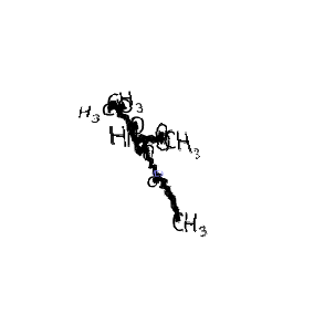 CCCCCCCCC(=O)/C=C/CCCCOc1ccc(NC(=O)CCCC(=O)N(C)C)cc1CCC(=O)OC